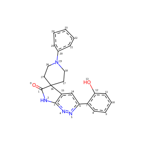 O=C1Nc2nnc(-c3ccccc3O)cc2C12CCN(c1ccccc1)CC2